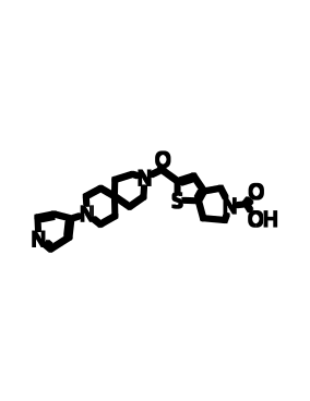 O=C(O)N1CCc2sc(C(=O)N3CCC4(CC3)CCN(c3ccncc3)CC4)cc2C1